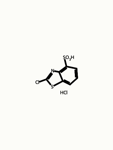 Cl.O=S(=O)(O)c1cccc2sc(Cl)nc12